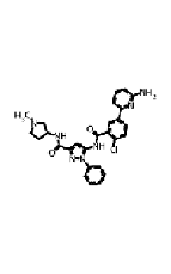 CN1CCC(NC(=O)c2cc(NC(=O)c3cc(-c4cccc(N)n4)ccc3Cl)n(-c3ccccc3)n2)C1